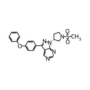 CS(=O)(=O)N1CC[C@@H](n2nc(-c3ccc(Oc4ccccc4)cc3)c3cncnc32)C1